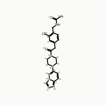 CC(C)C(=O)NCc1ccc(CC(=O)N2CCN(c3ccc4nncn4n3)CC2)cc1Cl